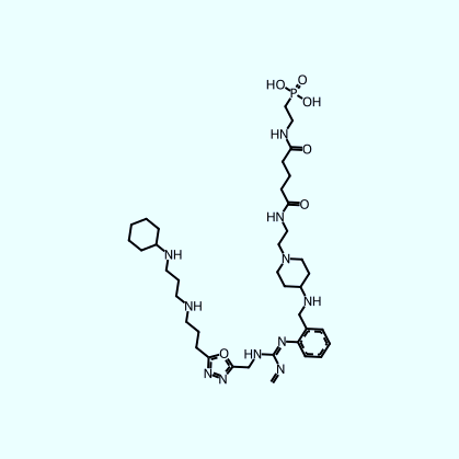 C=N/C(=N\c1ccccc1CNC1CCN(CCNC(=O)CCCC(=O)NCCP(=O)(O)O)CC1)NCc1nnc(CCCNCCCNC2CCCCC2)o1